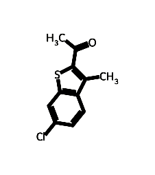 CC(=O)c1sc2cc(Cl)ccc2c1C